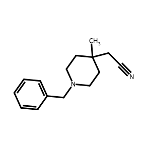 CC1(CC#N)CCN(Cc2ccccc2)CC1